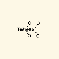 [O]=[GeH][O-].[O]=[GeH][O-].[Te+2]